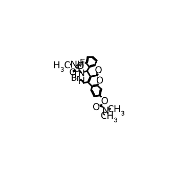 CNS(=O)(=O)NC(c1ccccc1F)c1c(CBr)c2ccc(OC(=O)N(C)C)cc2oc1=O